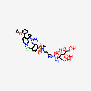 CCN(CCCCNC(=O)NC(CO)C(O)C(O)C(O)CO)S(=O)(=O)c1ccc(Cl)c(CNC2(c3cnccc3-c3ccccc3OC3CC3)CC2)c1